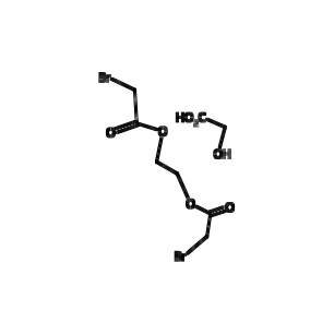 O=C(CBr)OCCOC(=O)CBr.O=C(O)CO